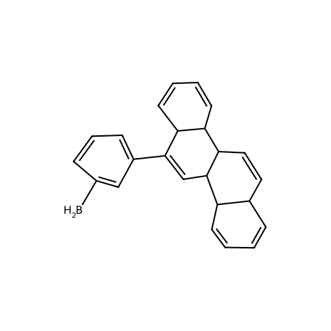 Bc1cccc(C2=CC3C4C=CC=CC4C=CC3C3C=CC=CC23)c1